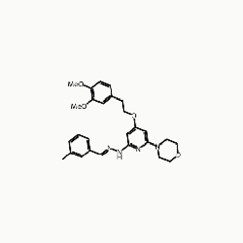 COc1ccc(CCOc2cc(NN=Cc3cccc(C)c3)nc(N3CCOCC3)c2)cc1OC